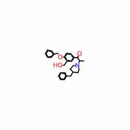 CC(C(=O)c1ccc(OCc2ccccc2)c(CO)c1)N1CCC(Cc2ccccc2)CC1